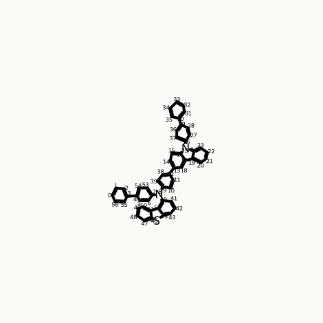 c1ccc(-c2ccc(N(c3ccc(-c4ccc5c(c4)c4ccccc4n5-c4ccc(-c5ccccc5)cc4)cc3)c3cccc4sc5ccccc5c34)cc2)cc1